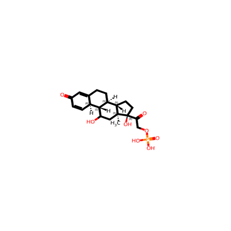 C[C@]12CC(O)[C@H]3[C@@H](CCC4=CC(=O)C=C[C@@H]43)[C@@H]1CC[C@]2(O)C(=O)COP(=O)(O)O